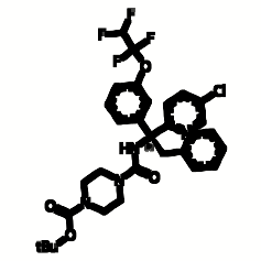 CC(C)(C)OC(=O)N1CCN(C(=O)N[C@](Cc2ccccc2)(c2cccc(OC(F)(F)C(F)F)c2)c2ccc(Cl)cn2)CC1